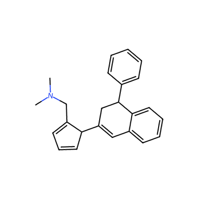 CN(C)CC1=CC=CC1C1=Cc2ccccc2C(c2ccccc2)C1